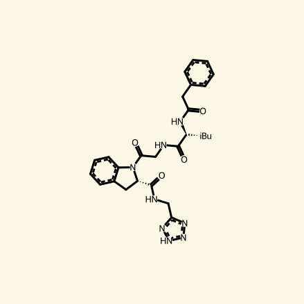 CC[C@@H](C)[C@H](NC(=O)Cc1ccccc1)C(=O)NCC(=O)N1c2ccccc2C[C@H]1C(=O)NCc1nn[nH]n1